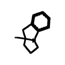 [CH2]C12CCCN1c1ccccc1C2